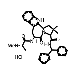 CN[C@@H](C)C(=O)N[C@H]1Cc2c([nH]c3ccccc23)C2CC(C)(C)C(C(=O)NC(c3ccccc3)c3ccccc3)N2C1=O.Cl